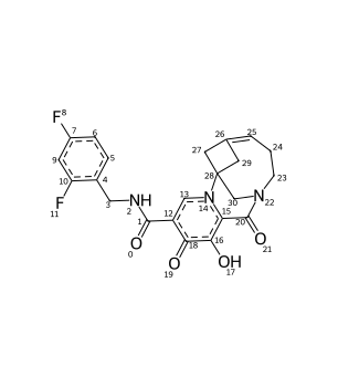 O=C(NCc1ccc(F)cc1F)c1cn2c(c(O)c1=O)C(=O)N1CCC=C3CC2(C3)C1